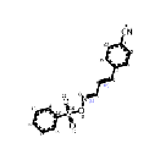 N#Cc1ccc(/C=C/C=N/OS(=O)(=O)c2ccccc2)cc1